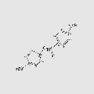 CCCCc1ccc(O[PH](=O)c2ccc(CCCC)cc2)cc1